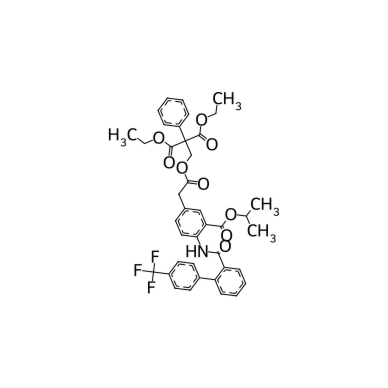 CCOC(=O)C(COC(=O)Cc1ccc(NC(=O)c2ccccc2-c2ccc(C(F)(F)F)cc2)c(C(=O)OC(C)C)c1)(C(=O)OCC)c1ccccc1